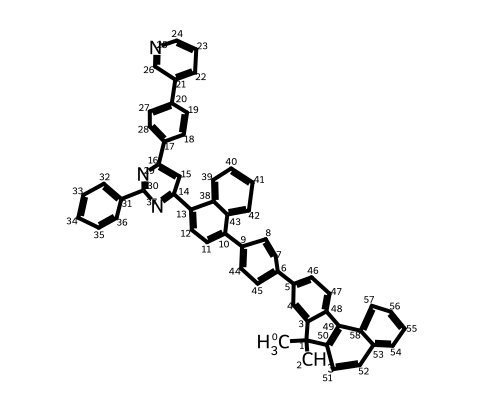 CC1(C)c2cc(-c3ccc(-c4ccc(-c5cc(-c6ccc(-c7cccnc7)cc6)nc(-c6ccccc6)n5)c5ccccc45)cc3)ccc2-c2c1ccc1ccccc21